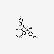 CCCCOc1cc(OC)ccc1[C@@H]1[C@@H](CCC(=O)c2ccc(F)cc2)OC(=O)N1c1ccc(OC)cc1